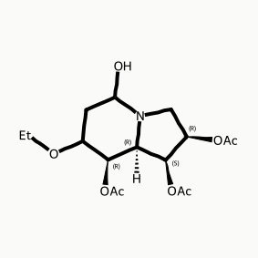 CCOC1CC(O)N2C[C@@H](OC(C)=O)[C@@H](OC(C)=O)[C@H]2[C@H]1OC(C)=O